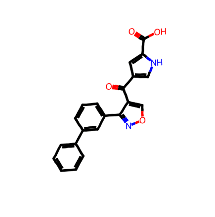 O=C(O)c1cc(C(=O)c2conc2-c2cccc(-c3ccccc3)c2)c[nH]1